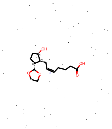 O=C(O)CCC/C=C\C[C@@H]1[C@H](O)CC[C@H]1C1OCCO1